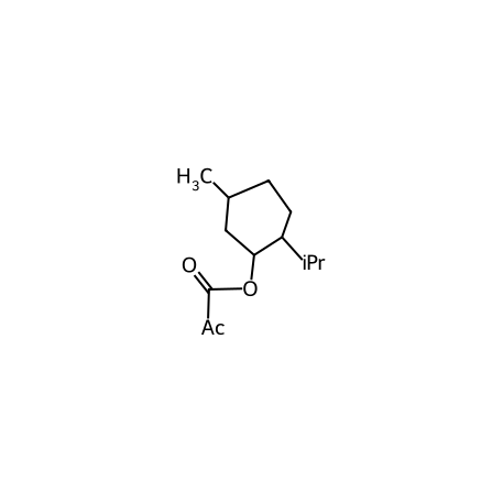 CC(=O)C(=O)OC1CC(C)CCC1C(C)C